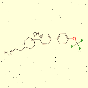 CCCC1CC[Si](C)(c2ccc(-c3ccc(OC(F)(F)F)cc3)cc2)CC1